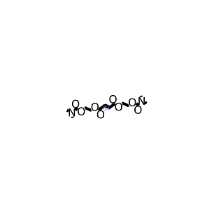 CN(C)C(=O)OCCOC(=O)/C=C/C(=O)OCCOC(=O)N(C)C